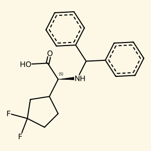 O=C(O)[C@@H](NC(c1ccccc1)c1ccccc1)C1CCC(F)(F)C1